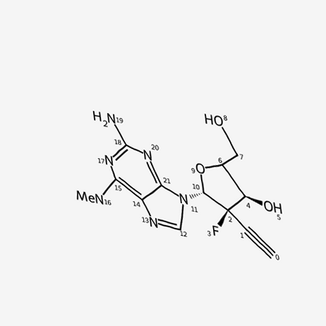 C#C[C@@]1(F)[C@H](O)C(CO)O[C@H]1n1cnc2c(NC)nc(N)nc21